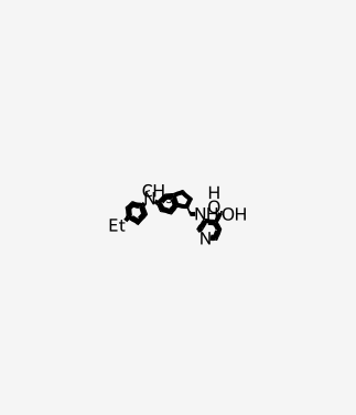 CCc1ccc(N(C)c2ccc3c(c2)CC[C@H]3CNc2cnccc2C(O)O)cc1